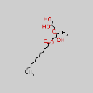 CCCCCCCCCCCC(=O)OC[C@@H](O)[C@H](C)OC[C@@H](O)CO